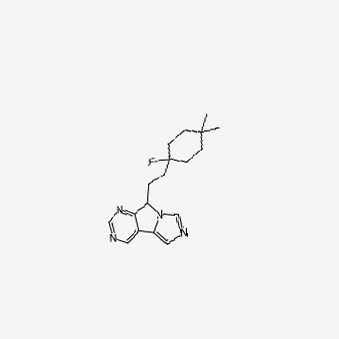 CC1(C)CCC(F)(CCC2c3ncncc3-c3cncn32)CC1